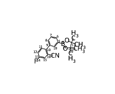 CC1(C)OB(c2cccc(-c3ccc(F)cc3C#N)c2)OC1(C)C